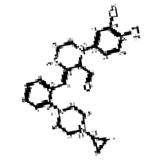 O=CC1C(=Cc2ccccc2N2CCN(C3CC3)CC2)SCCN1c1ccc(Cl)c(Cl)c1